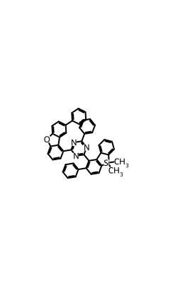 C[Si]1(C)c2ccccc2-c2c1ccc(-c1ccccc1)c2-c1nc(-c2ccccc2)nc(-c2cccc3oc4ccc(-c5ccccc5)cc4c23)n1